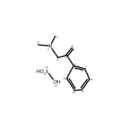 C=C(CN(C)C)c1ccccc1.O=S(=O)(O)O